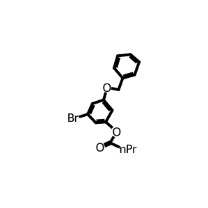 CCCC(=O)Oc1cc(Br)cc(OCc2ccccc2)c1